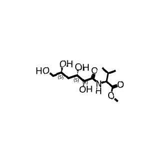 COC(=O)C(NC(=O)[C@H](O)[C@@H](O)C[C@H](O)CO)C(C)C